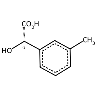 Cc1cccc([C@H](O)C(=O)O)c1